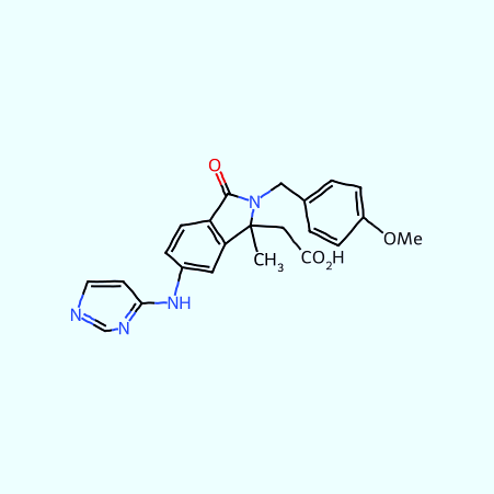 COc1ccc(CN2C(=O)c3ccc(Nc4ccncn4)cc3C2(C)CC(=O)O)cc1